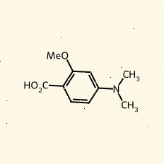 COc1cc(N(C)C)ccc1C(=O)O